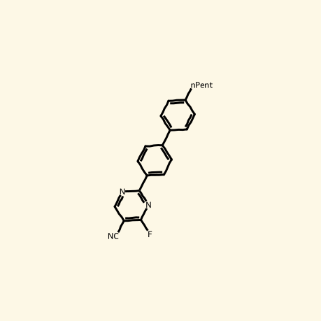 CCCCCc1ccc(-c2ccc(-c3ncc(C#N)c(F)n3)cc2)cc1